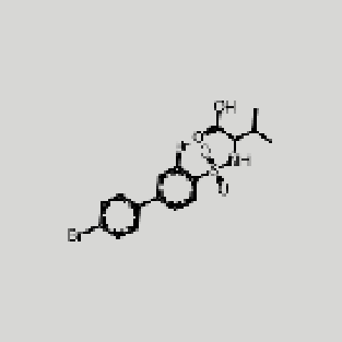 CC(C)C(NS(=O)(=O)c1ccc(-c2ccc(Br)cc2)cc1Br)C(=O)O